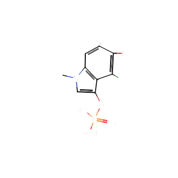 Cn1cc(OP(=O)(O)O)c2c(Cl)c(Br)ccc21